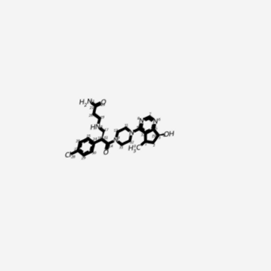 CC1C[C@H](O)c2ncnc(N3CCN(C(=O)[C@H](CNCCC(N)=O)c4ccc(Cl)cc4)CC3)c21